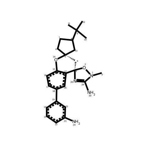 CN1O[C@@]2(C[C@@]3(CCC(C(C)(C)C)C3)Oc3ccc(-c4cccc(N)c4)cc32)N=C1N